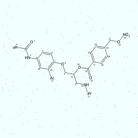 CCCC(=O)Nc1ccc(OCC(CNC(C)C)OC(=O)c2ccc(CO[N+](=O)[O-])cc2)c(C(C)=O)c1